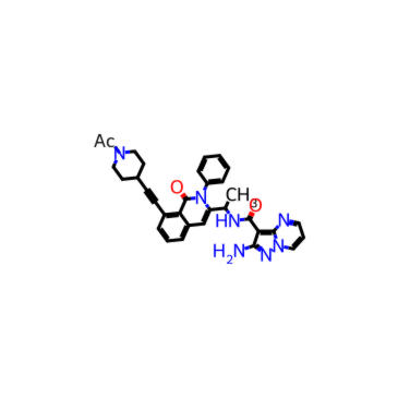 CC(=O)N1CCC(C#Cc2cccc3cc(C(C)NC(=O)c4c(N)nn5cccnc45)n(-c4ccccc4)c(=O)c23)CC1